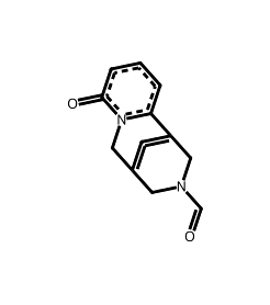 O=CN1CC2=C=C(C1)c1cccc(=O)n1C2